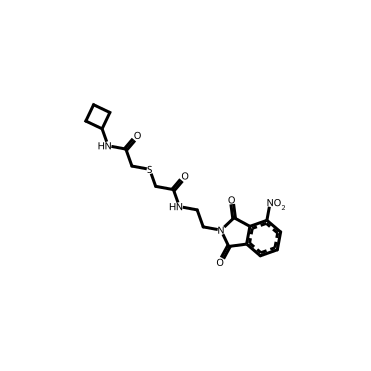 O=C(CSCC(=O)NC1CCC1)NCCN1C(=O)c2cccc([N+](=O)[O-])c2C1=O